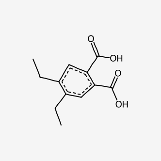 CCc1cc(C(=O)O)c(C(=O)O)cc1CC